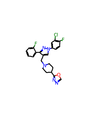 Fc1ccc(-n2cc(CN3CCC(c4nnco4)CC3)c(-c3ccccc3F)n2)cc1Cl